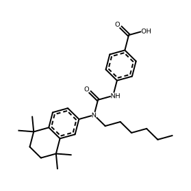 CCCCCCN(C(=O)Nc1ccc(C(=O)O)cc1)c1ccc2c(c1)C(C)(C)CCC2(C)C